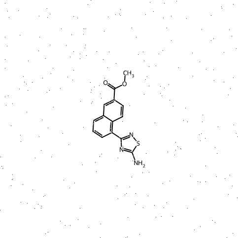 COC(=O)c1ccc2c(-c3nsc(N)n3)cccc2c1